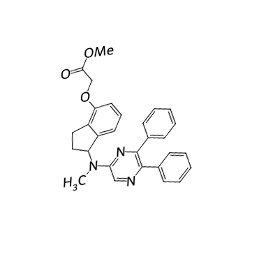 COC(=O)COc1cccc2c1CCC2N(C)c1cnc(-c2ccccc2)c(-c2ccccc2)n1